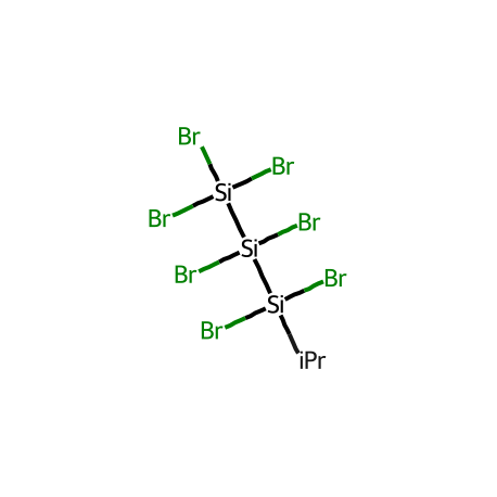 CC(C)[Si](Br)(Br)[Si](Br)(Br)[Si](Br)(Br)Br